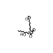 CCCCCC(O)CCN1C(=O)CC(=O)C1CCCCCCC(=O)OC